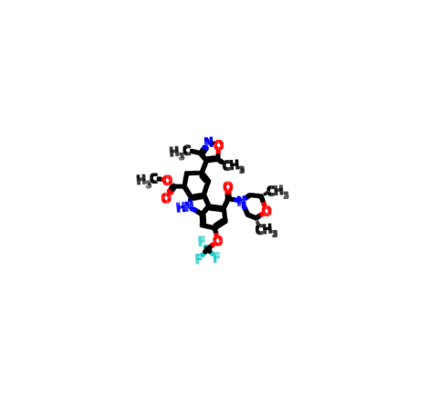 COC(=O)C1CC(c2c(C)noc2C)=Cc2c1[nH]c1cc(OC(F)(F)F)cc(C(=O)N3C[C@@H](C)O[C@@H](C)C3)c21